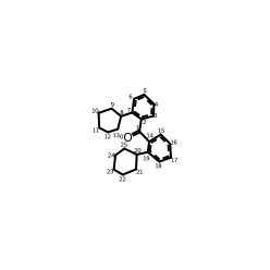 O=C(c1ccccc1C1CCCCC1)c1ccccc1C1CCCCC1